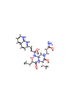 CC(C)C[C@H]1ON(C(=O)/C=C/c2ccc3cccnc3n2)[C@H]2CN(CCC(N)=O)C(=O)[C@H](CC(C)C)N2C1=O